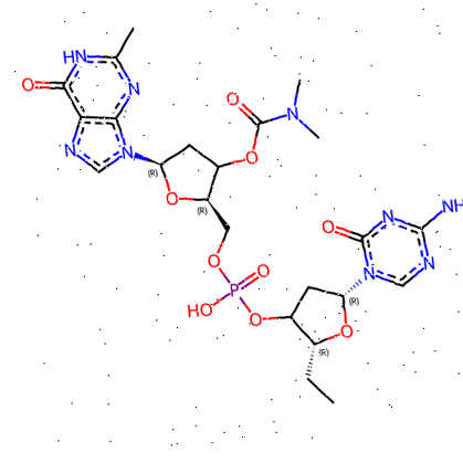 CC[C@H]1O[C@@H](n2cnc(N)nc2=O)CC1OP(=O)(O)OC[C@H]1O[C@@H](n2cnc3c(=O)[nH]c(C)nc32)CC1OC(=O)N(C)C